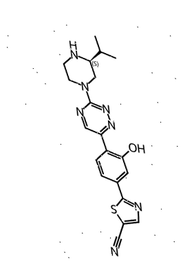 CC(C)[C@H]1CN(c2ncc(-c3ccc(-c4ncc(C#N)s4)cc3O)nn2)CCN1